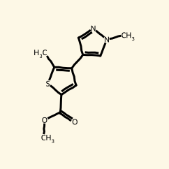 COC(=O)c1cc(-c2cnn(C)c2)c(C)s1